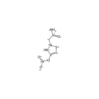 NC(=O)CN1NC(O[N+](=O)[O-])=CS1